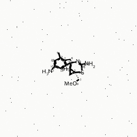 COC[C@]12C[C@H]1[C@]1(Cc3c(C)cc(N)cc31)N=C(N)S2